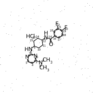 CN(C)c1ccnc(NC2CCC(NC(=O)c3ccc(F)c(F)c3)CC2)n1.Cl